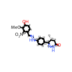 COc1c(O)ccc(C=NNc2ccc(C3=NNC(=O)C[C@H]3C)cc2)c1[N+](=O)[O-]